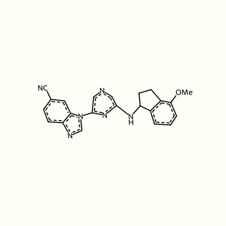 COc1cccc2c1CCC2Nc1cncc(-n2cnc3ccc(C#N)cc32)n1